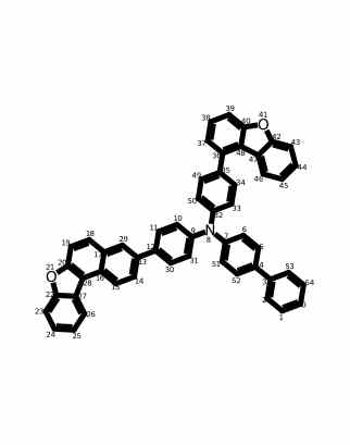 c1ccc(-c2ccc(N(c3ccc(-c4ccc5c(ccc6oc7ccccc7c65)c4)cc3)c3ccc(-c4cccc5oc6ccccc6c45)cc3)cc2)cc1